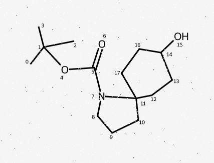 CC(C)(C)OC(=O)N1CCCC12CCC(O)CC2